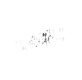 C[C@@H](CN1CCN(CC(=O)O)CCN(CC(=O)O)CCN(CC(=O)O)CC1)NC(=O)CN1CCN(CC(=O)O)CCN(CC(=O)O)CCN(CC(=O)O)CC1